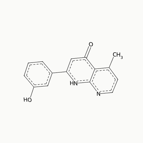 Cc1ccnc2[nH]c(-c3cccc(O)c3)cc(=O)c12